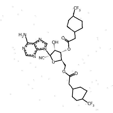 N#C[C@@]1(n2cnc3c(N)ncnc32)O[C@H](COC(=O)CC2CCC(C(F)(F)F)CC2)[C@@H](OC(=O)CC2CCC(C(F)(F)F)CC2)[C@H]1O